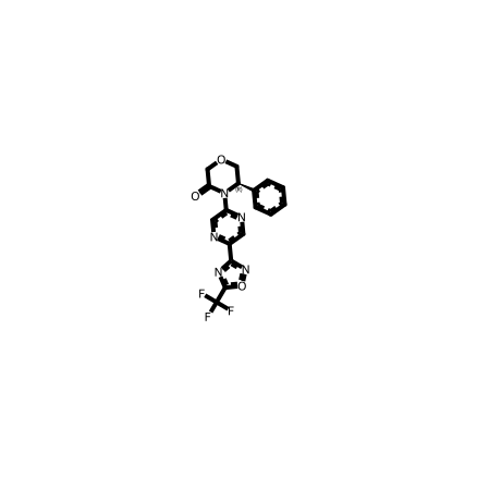 O=C1COC[C@@H](c2ccccc2)N1c1cnc(-c2noc(C(F)(F)F)n2)cn1